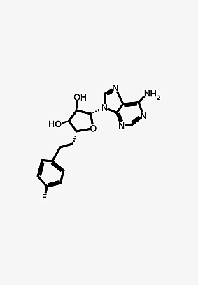 Nc1ncnc2c1ncn2[C@@H]1O[C@H](CCc2ccc(F)cc2)[C@@H](O)[C@H]1O